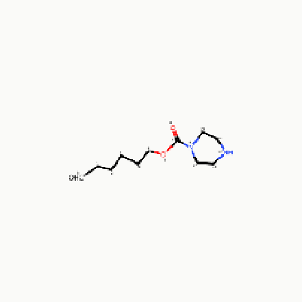 O=CCCCCCOC(=O)N1CCNCC1